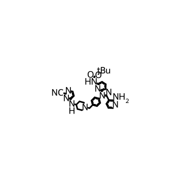 CC(C)(C)OC(=O)Nc1ccc2nc(-c3cccnc3N)n(-c3ccc(CN4CCC(Nc5ccnc(C#N)n5)CC4)cc3)c2n1